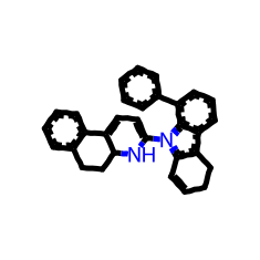 C1=Cc2c(c3cccc(-c4ccccc4)c3n2C2=CC=C3c4ccccc4CCC3N2)CC1